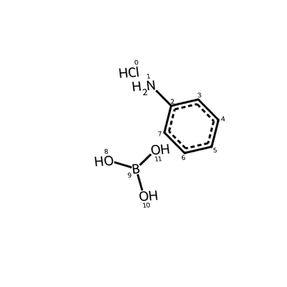 Cl.Nc1ccccc1.OB(O)O